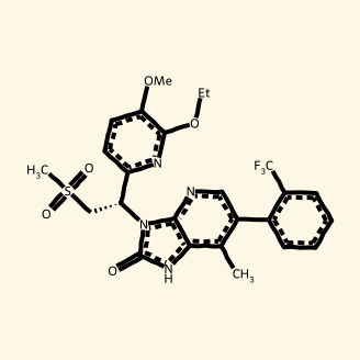 CCOc1nc([C@@H](CS(C)(=O)=O)n2c(=O)[nH]c3c(C)c(-c4ccccc4C(F)(F)F)cnc32)ccc1OC